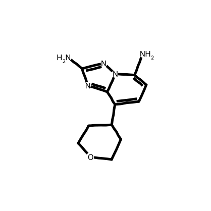 Nc1nc2c(C3CCOCC3)ccc(N)n2n1